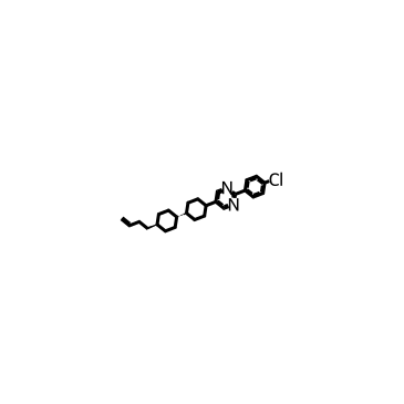 C=CCC[C@H]1CC[C@H](C2CCC(c3cnc(-c4ccc(Cl)cc4)nc3)CC2)CC1